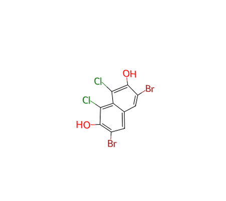 Oc1c(Br)cc2cc(Br)c(O)c(Cl)c2c1Cl